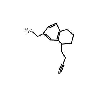 CCc1ccc2c(c1)C(CCC#N)CCC2